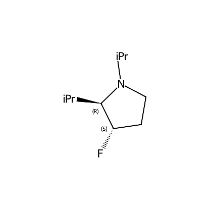 CC(C)[C@@H]1[C@@H](F)CCN1C(C)C